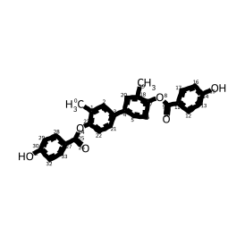 Cc1cc(-c2ccc(OC(=O)c3ccc(O)cc3)c(C)c2)ccc1OC(=O)c1ccc(O)cc1